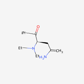 C=C(N)C[C@H](C(=O)C(C)C)N(CC)CC